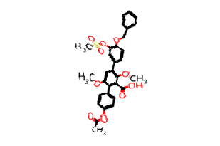 COc1cc(-c2ccc(OCc3ccccc3)c(OS(C)(=O)=O)c2)c(OC)c(C(=O)O)c1-c1ccc(OC(C)=O)cc1